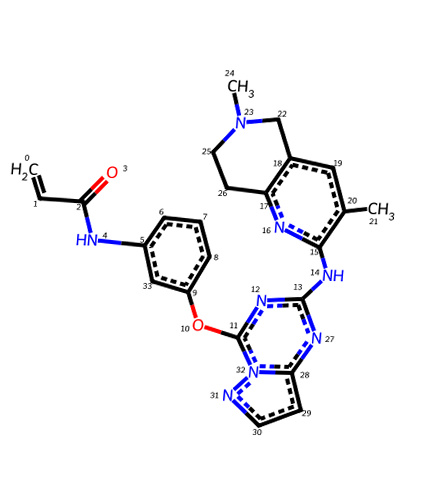 C=CC(=O)Nc1cccc(Oc2nc(Nc3nc4c(cc3C)CN(C)CC4)nc3ccnn23)c1